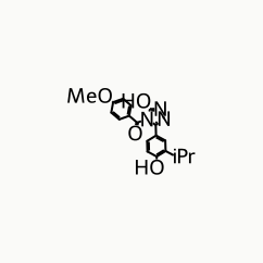 COc1ccc(C(=O)n2c(O)nnc2-c2ccc(O)c(C(C)C)c2)cc1